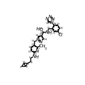 Cc1nc(NCCC2C3CC23)ccc1Cn1cc(C(O)NCc2cc(Cl)ccc2-n2cnnn2)cn1